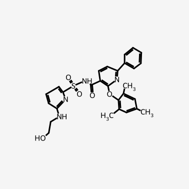 Cc1cc(C)c(Oc2nc(-c3ccccc3)ccc2C(=O)NS(=O)(=O)c2cccc(NCCO)n2)c(C)c1